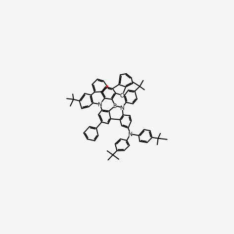 CC(C)(C)c1ccc(N2B3c4c(cc(-c5ccccc5)cc4N(c4ccc(C(C)(C)C)cc4-c4ccccc4)c4ccc5c(oc6ccccc65)c43)-c3cc(N(c4ccc(C(C)(C)C)cc4)c4ccc(C(C)(C)C)cc4)ccc32)cc1